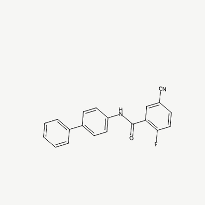 N#Cc1ccc(F)c(C(=O)Nc2ccc(-c3ccccc3)cc2)c1